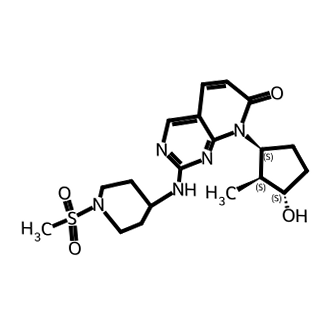 C[C@@H]1[C@@H](O)CC[C@@H]1n1c(=O)ccc2cnc(NC3CCN(S(C)(=O)=O)CC3)nc21